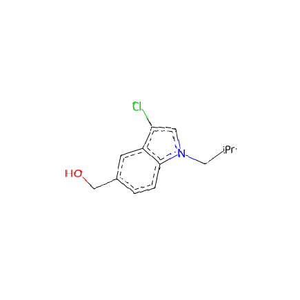 C[C](C)Cn1cc(Cl)c2cc(CO)ccc21